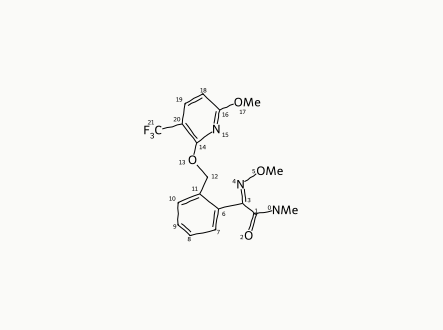 CNC(=O)C(=NOC)c1ccccc1COc1nc(OC)ccc1C(F)(F)F